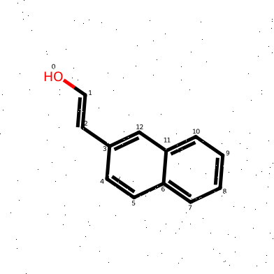 OC=Cc1ccc2ccccc2c1